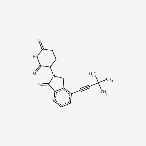 CC(C)(C)C#Cc1cccc2c1CN(C1CCC(=O)NC1=O)C2=O